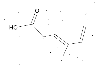 C=CC(C)=C[CH]C(=O)O